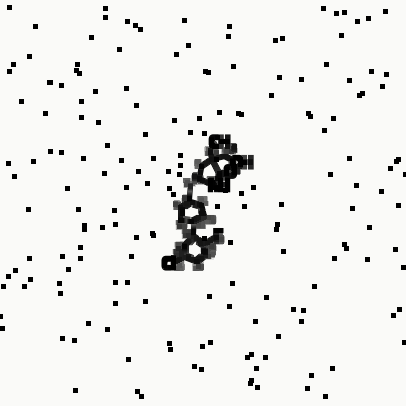 CCC1(CO)C[C@@H](Cc2ccc(-c3cc(Cl)ccc3F)cc2)NC1=O